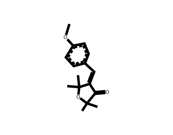 COc1ccc(C=C2C(=O)C(C)(C)OC2(C)C)cc1